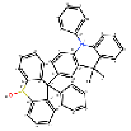 CC1(C)c2ccccc2N(c2ccccc2)c2ccc(C3(c4ccccc4)c4ccccc4[S+]([O-])c4ccccc43)cc21